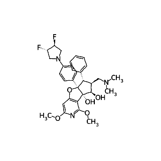 COc1cc2c(c(OC)n1)[C@]1(O)[C@H](O)[C@H](CN(C)C)[C@@H](c3ccccc3)[C@]1(c1ccc(N3C[C@H](F)[C@@H](F)C3)cc1)O2